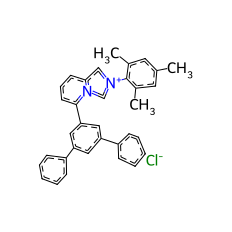 Cc1cc(C)c(-[n+]2cc3cccc(-c4cc(-c5ccccc5)cc(-c5ccccc5)c4)n3c2)c(C)c1.[Cl-]